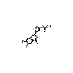 O=C(O)Oc1cnn(-c2nc3cc(F)c(F)cc3c(=O)[nH]2)c1